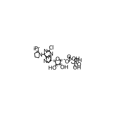 CC(C)[C@@H]1CCCN1c1nc(Cl)nn2c([C@@H]3O[C@H](COP(=O)(O)CP(=O)(O)O)[C@@H](O)[C@H]3O)cnc12